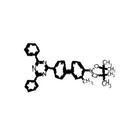 Cc1cc(-c2ccc(-c3nc(-c4ccccc4)nc(-c4ccccc4)n3)cc2)ccc1B1OC(C)(C)C(C)(C)O1